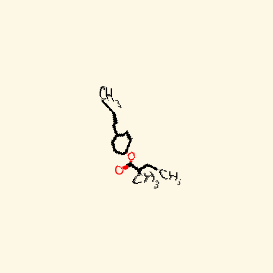 CCCCC1CCC(OC(=O)C(C)CC)CC1